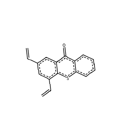 C=Cc1cc(C=C)c2sc3ccccc3c(=O)c2c1